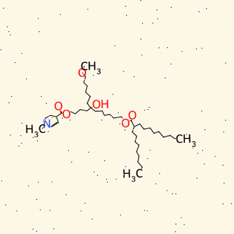 CCCCCCCCCC(CCCCCCCCC)C(=O)OCCCCCCC(O)(CCCCCCOC)CCCCOC(=O)C1C=CN(C)CC1